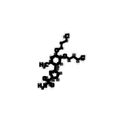 Cc1cc(OCCCCl)c(OCCCCl)cc1-c1ccc(S(N)(=O)=O)s1